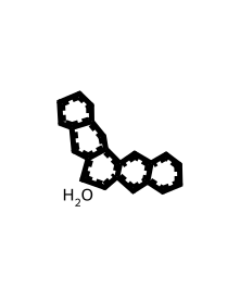 O.c1ccc2cc3c(ccc4cc5ccccc5cc43)cc2c1